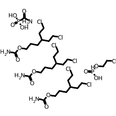 NC(=O)OCCCC(CCCl)CCCl.NC(=O)OCCCC(CCCl)CCCl.NC(=O)OCCCC(CCCl)CCCl.NC(=O)P(=O)(O)O.O=[PH](O)OCCCl